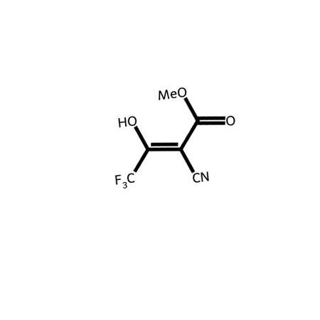 COC(=O)C(C#N)=C(O)C(F)(F)F